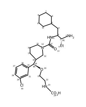 CC[C@@H](N)C(CC1CCCCC1)NC(=O)N1CCCC([C@@H](OCCNC(=O)O)c2cccc(Cl)c2)C1